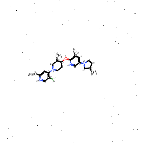 COc1cc(N2CCC(Oc3ncc(N4CCC(C)C4)cc3C(F)(F)F)C(C)C2)c(Cl)cn1